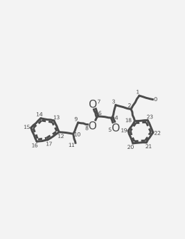 CCC(CC(=O)C(=O)OCC(C)c1ccccc1)c1ccccc1